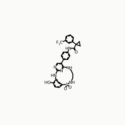 O=C(Nc1ccc(-c2cnc3nc2NCCCNS(=O)(=O)c2ccc(O)c(c2)N3)cc1)C1(c2cccc(C(F)(F)F)c2)CC1